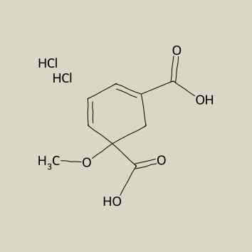 COC1(C(=O)O)C=CC=C(C(=O)O)C1.Cl.Cl